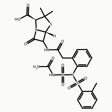 Cc1ccccc1S(=O)(=O)N(c1ccccc1CC(=O)NC1C(=O)N2[C@@H]1SC(C)(C)[C@@H]2C(=O)O)S(=O)(=O)NC(N)=O